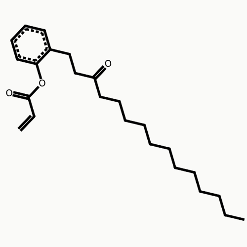 C=CC(=O)Oc1ccccc1CCC(=O)CCCCCCCCCCCC